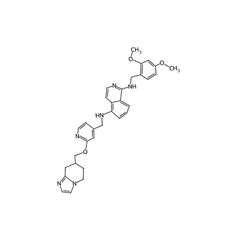 COc1ccc(CNc2nccc3c(NCc4ccnc(OCC5CCn6ccnc6C5)c4)cccc23)c(OC)c1